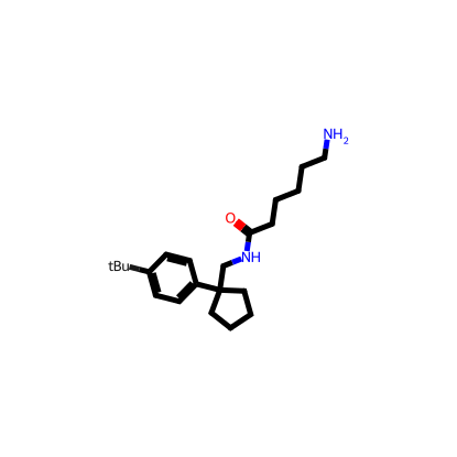 CC(C)(C)c1ccc(C2(CNC(=O)CCCCCN)CCCC2)cc1